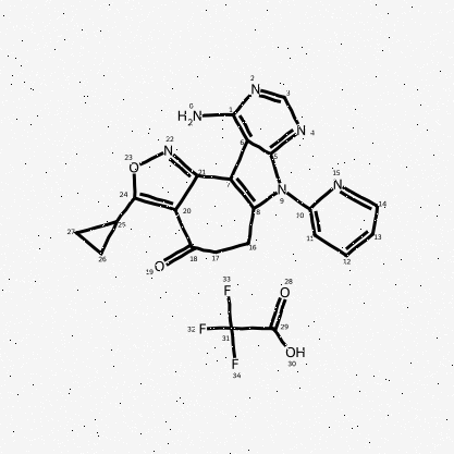 Nc1ncnc2c1c1c(n2-c2ccccn2)CCC(=O)c2c-1noc2C1CC1.O=C(O)C(F)(F)F